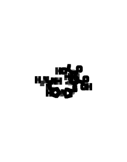 CC(O)[C@H]1C(=O)N2C(C(=O)O)=C(S[C@@H]3CCN([C@@H]4CC[C@@H](NC(=N)N)C4)C3)[C@H](C)[C@H]12